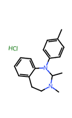 Cc1ccc(N2c3ccccc3CCN(C)C2C)cc1.Cl